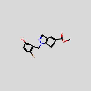 COC(=O)c1ccc2c(cnn2Cc2cc(O)ccc2Br)c1